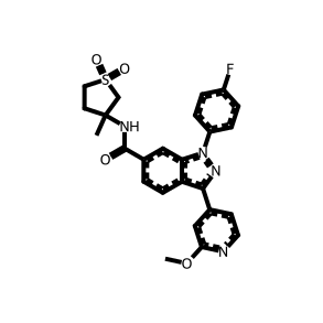 COc1cc(-c2nn(-c3ccc(F)cc3)c3cc(C(=O)NC4(C)CCS(=O)(=O)C4)ccc23)ccn1